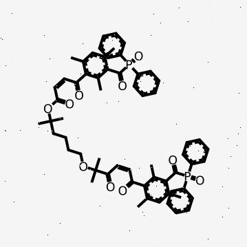 Cc1cc(C)c(C(=O)P(=O)(c2ccccc2)c2ccccc2)c(C)c1C(=O)/C=C\C(=O)OC(C)(C)CCCCOC(C)(C)C(=O)/C=C\C(=O)c1c(C)cc(C)c(C(=O)P(=O)(c2ccccc2)c2ccccc2)c1C